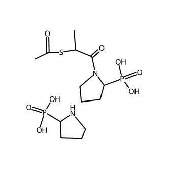 CC(=O)SC(C)C(=O)N1CCCC1P(=O)(O)O.O=P(O)(O)C1CCCN1